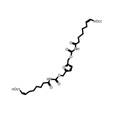 CCCCCCCC/C=C\CCCCCC(=O)NC(=O)OCc1ccc(COC(=O)NC(=O)CCCCC/C=C\CCCCCCCC)o1